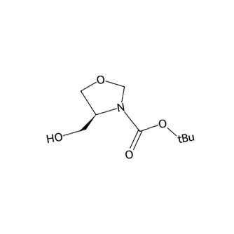 CC(C)(C)OC(=O)N1COC[C@@H]1CO